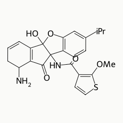 COc1sccc1C(=O)NC12C(=O)C3=C(C=CCC3N)C1(O)Oc1cc(C(C)C)ccc12